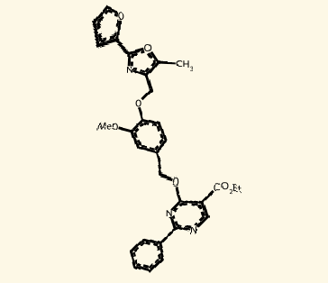 CCOC(=O)c1cnc(-c2ccccc2)nc1OCc1ccc(OCc2nc(-c3ccco3)oc2C)c(OC)c1